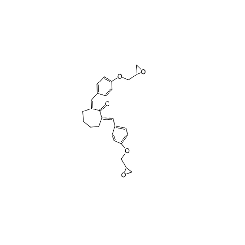 O=C1/C(=C\c2ccc(OCC3CO3)cc2)CCCC/C1=C\c1ccc(OCC2CO2)cc1